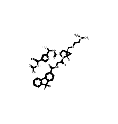 CC(NC(=O)[C@@H]1C[C@]2(COCCN(C)C)C[C@@H]2N1C(=O)CNC(=O)c1ccc2c(c1)-c1ccccc1C2(F)F)c1cc(C(=N)NC(=O)O)cs1